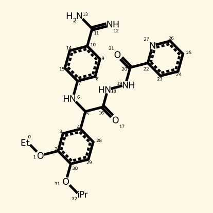 CCOc1cc(C(Nc2ccc(C(=N)N)cc2)C(=O)NNC(=O)c2ccccn2)ccc1OC(C)C